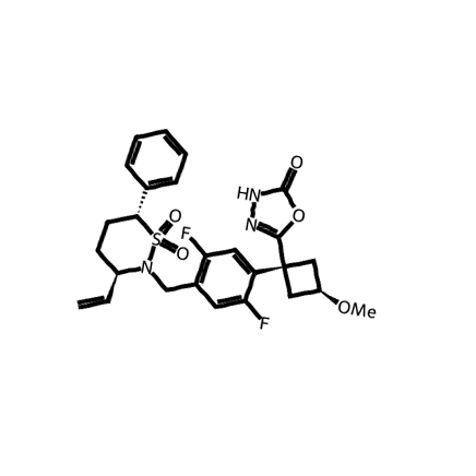 C=C[C@H]1CC[C@H](c2ccccc2)S(=O)(=O)N1Cc1cc(F)c([C@]2(c3n[nH]c(=O)o3)C[C@H](OC)C2)cc1F